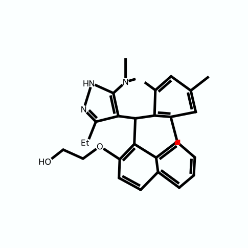 CCc1n[nH]c(N(C)C)c1C(c1c(C)cc(C)cc1C)c1c(OCCO)ccc2ccccc12